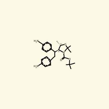 C[C@@H]1OC(C)(C)N(C(=O)OC(C)(C)C)[C@H]1C(Cc1ccc(N)cc1)c1ccc(N)cc1